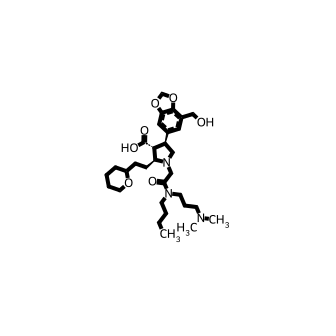 CCCCN(CCCN(C)C)C(=O)CN1C[C@H](c2cc(CO)c3c(c2)OCO3)[C@@H](C(=O)O)[C@@H]1CCC1CCCCO1